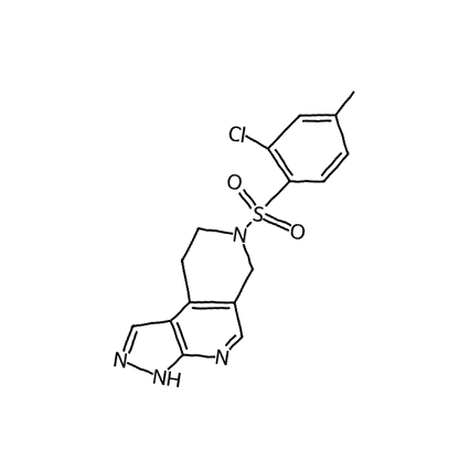 Cc1ccc(S(=O)(=O)N2CCc3c(cnc4[nH]ncc34)C2)c(Cl)c1